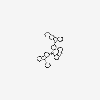 c1ccc(-n2c3ccccc3c3ccc(N(c4ccc(-n5c6ccccc6c6cc7ccccc7cc65)cc4)c4cccc5oc6ccccc6c45)cc32)cc1